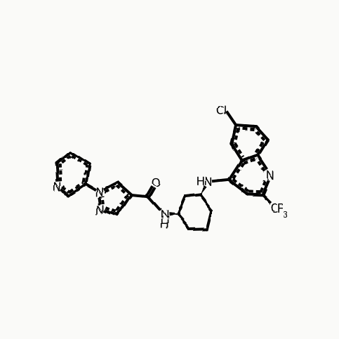 O=C(N[C@@H]1CCC[C@H](Nc2cc(C(F)(F)F)nc3ccc(Cl)cc23)C1)c1cnn(-c2cccnc2)c1